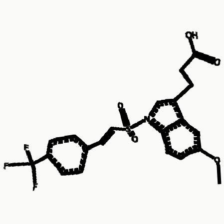 COc1ccc2c(c1)c(CCC(=O)O)cn2S(=O)(=O)C=Cc1ccc(C(F)(F)F)cc1